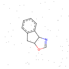 C1=NC2c3ccccc3CC2O1